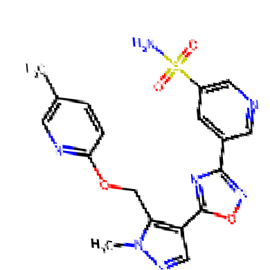 Cn1ncc(-c2nc(-c3cncc(S(N)(=O)=O)c3)no2)c1COc1ccc(C(F)(F)F)cn1